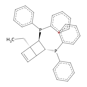 CC[C@@]12C=CC1[C@@H](P(c1ccccc1)c1ccccc1)[C@@H]2P(c1ccccc1)c1ccccc1